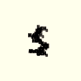 COC(=O)c1ccc(-c2ccccc2CCOC[C@H](O)CNC(C)(C)Cc2ccc(C)c(F)c2)cc1C